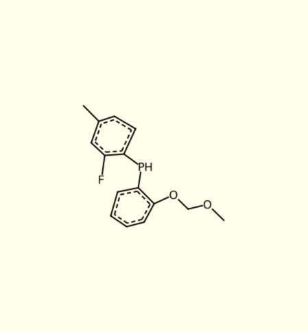 COCOc1ccccc1Pc1ccc(C)cc1F